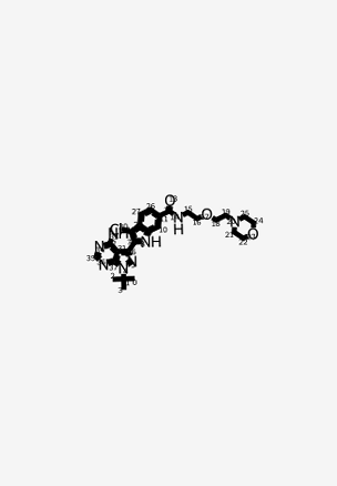 CC(C)(C)n1nc(-c2[nH]c3cc(C(=O)NCCOCCN4CCOCC4)ccc3c2Cl)c2c(N)ncnc21